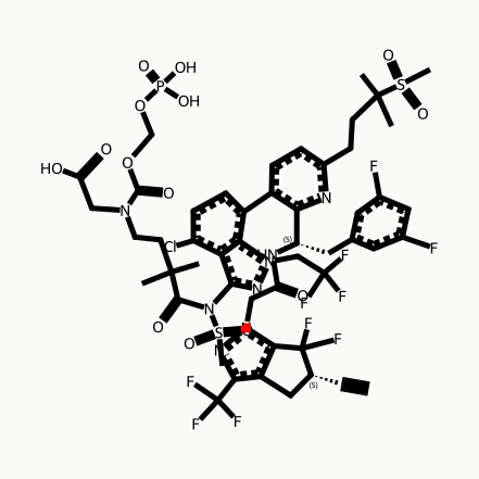 C#C[C@@H]1Cc2c(C(F)(F)F)nn(CC(=O)N[C@@H](Cc3cc(F)cc(F)c3)c3nc(CCC(C)(C)S(C)(=O)=O)ccc3-c3ccc(Cl)c4c(N(C(=O)C(C)(C)CCN(CC(=O)O)C(=O)OCOP(=O)(O)O)S(C)(=O)=O)nn(CC(F)(F)F)c34)c2C1(F)F